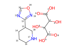 O=C(O)C(O)C(O)C(=O)O.c1nc(C2CCCNC2)no1